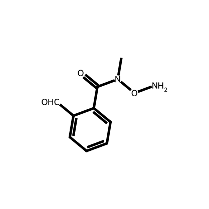 CN(ON)C(=O)c1ccccc1C=O